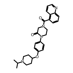 CC(C)N1CCC(Oc2ccc(N3CCN(C(=O)c4cccc5ncccc45)CC3=O)cc2)CC1